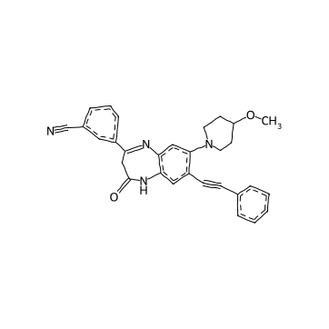 COC1CCN(c2cc3c(cc2C#Cc2ccccc2)NC(=O)CC(c2cccc(C#N)c2)=N3)CC1